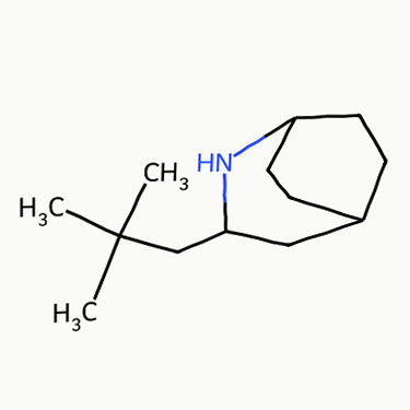 CC(C)(C)CC1CC2CCC(CC2)N1